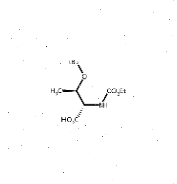 CCOC(=O)N[C@H](C(=O)O)[C@@H](C)OC(C)(C)C